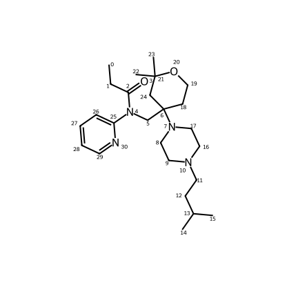 CCC(=O)N(CC1(N2CCN(CCC(C)C)CC2)CCOC(C)(C)C1)c1ccccn1